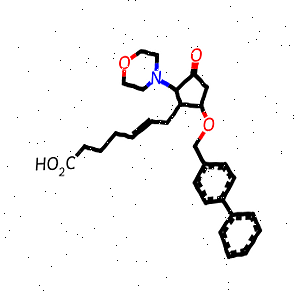 O=C(O)CCCC=CCC1C(OCc2ccc(-c3ccccc3)cc2)CC(=O)C1N1CCOCC1